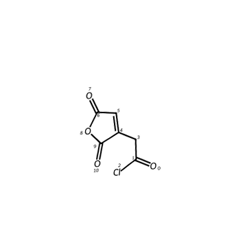 O=C(Cl)CC1=CC(=O)OC1=O